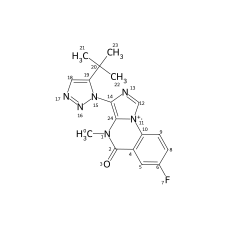 CN1C(=O)c2cc(F)ccc2[N+]2C=NC(n3nncc3C(C)(C)C)=C12